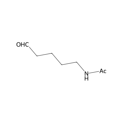 CC(=O)NCCCCC=O